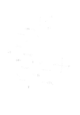 CCN(C(=O)COC(F)(F)F)c1c(F)ccc(NC(=O)c2cc(NC(=O)C3CC3(Cl)Cl)ccc2Cl)c1F